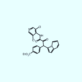 CCOC(=O)c1ccc(C(C(=O)C(=O)Nc2c(Cl)cncc2Cl)c2ccc3ccccn23)cc1